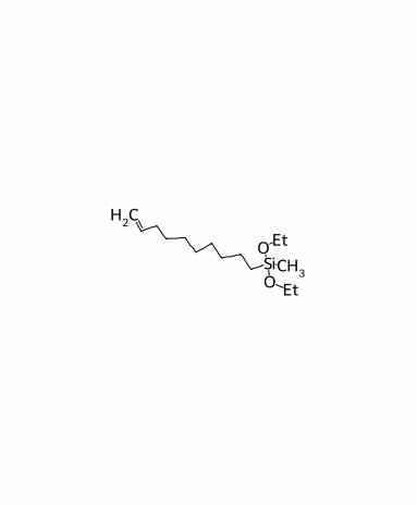 C=CCCCCCCCC[Si](C)(OCC)OCC